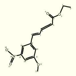 CCOC(=O)C=CC=Cc1cc(OC)cc([N+](=O)[O-])c1